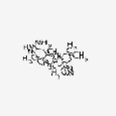 CC1(C)CC[C@]2(c3nnco3)CC[C@]3(C)C(=CCC4[C@@]5(C)Cc6c(n[nH]c6N)C(C)(C)C5CC[C@]43C)C2C1